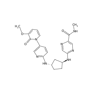 CNC(=O)c1cnc(N[C@H]2CC[C@H](Nc3ccc(-n4cccc(OC)c4=O)cn3)C2)cn1